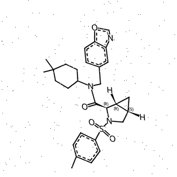 Cc1ccc(S(=O)(=O)N2C[C@H]3C[C@H]3[C@@H]2C(=O)N(Cc2ccc3ocnc3c2)C2CCC(C)(C)CC2)cc1